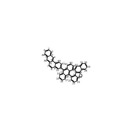 c1ccc2cc3c(ccc4cc(-c5c6ccccc6c(-c6cccc7oc8c9ccccc9ccc8c67)c6ccccc56)ccc43)cc2c1